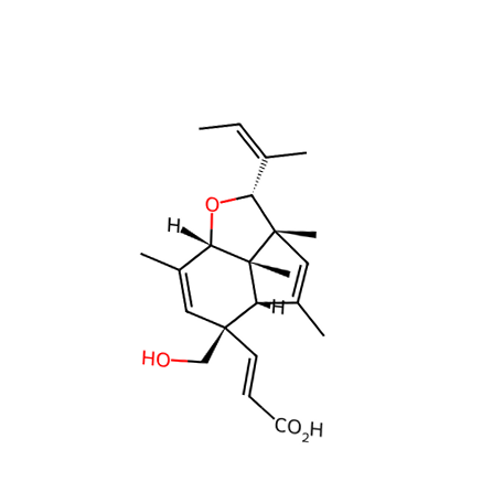 C/C=C(/C)[C@H]1O[C@H]2C(C)=C[C@](/C=C/C(=O)O)(CO)[C@H]3C(C)=C[C@]1(C)[C@@]23C